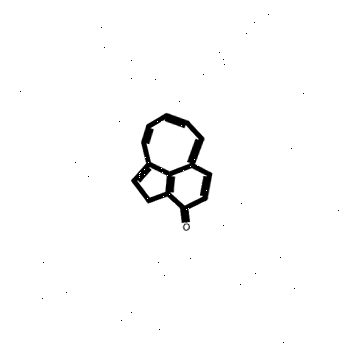 O=C1C=CC2=CC=CC=CC3=CCC1=C23